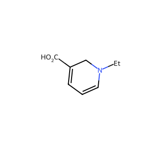 [CH2]CN1C=CC=C(C(=O)O)C1